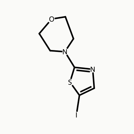 Ic1cnc(N2CCOCC2)s1